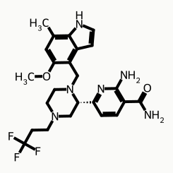 COc1cc(C)c2[nH]ccc2c1CN1CCN(CCC(F)(F)F)C[C@H]1c1ccc(C(N)=O)c(N)n1